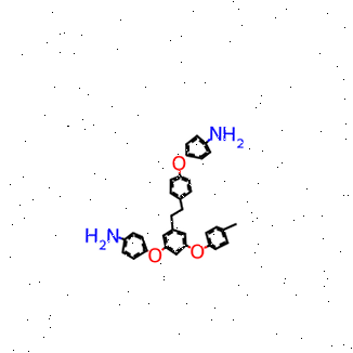 Cc1ccc(Oc2cc(CCc3ccc(Oc4ccc(N)cc4)cc3)cc(Oc3ccc(N)cc3)c2)cc1